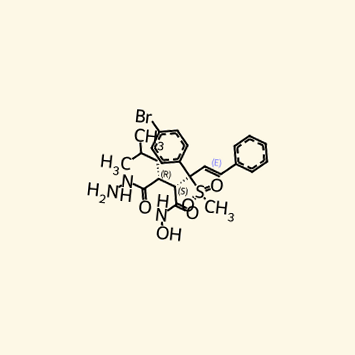 CC(C)C[C@@H](C(=O)NN)[C@@H](C(=O)NO)C(/C=C/c1ccccc1)(c1ccc(Br)cc1)S(C)(=O)=O